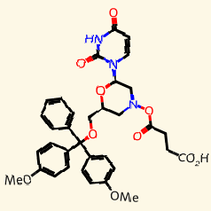 COc1ccc(C(OC[C@@H]2CN(OC(=O)CCC(=O)O)C[C@H](n3ccc(=O)[nH]c3=O)O2)(c2ccccc2)c2ccc(OC)cc2)cc1